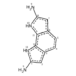 Nc1cc2ccc3cc(N)[nH]c3c2[nH]1